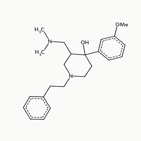 COc1cccc(C2(O)CCN(CCc3ccccc3)CC2CN(C)C)c1